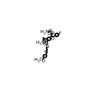 CC(=O)c1ccc(COCCOCCN(c2cc3oc(-c4ccc(F)cc4)c(C(=O)OC(N)=O)c3cc2C2CC2)S(C)(=O)=O)cc1